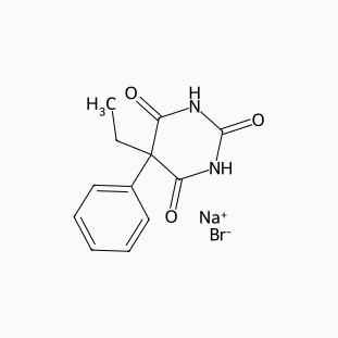 CCC1(c2ccccc2)C(=O)NC(=O)NC1=O.[Br-].[Na+]